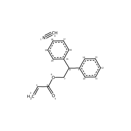 C#N.C=CC(=O)OCC(c1ccccc1)c1ccccc1